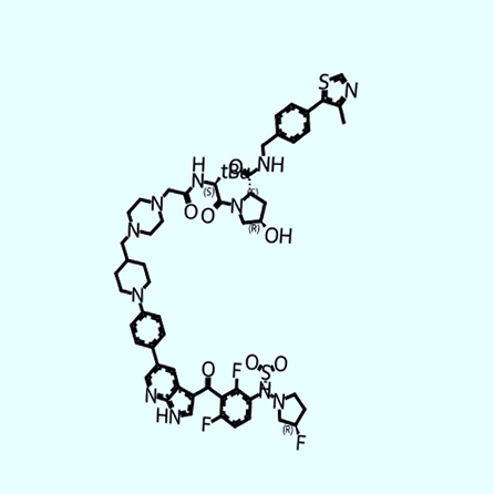 Cc1ncsc1-c1ccc(CNC(=O)[C@@H]2C[C@@H](O)CN2C(=O)[C@@H](NC(=O)CN2CCN(CC3CCN(c4ccc(-c5cnc6[nH]cc(C(=O)c7c(F)ccc(N(N8CC[C@@H](F)C8)[SH](=O)=O)c7F)c6c5)cc4)CC3)CC2)C(C)(C)C)cc1